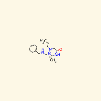 C=CCN1CC(=O)N[C@H](C)N1CNCc1ccccc1